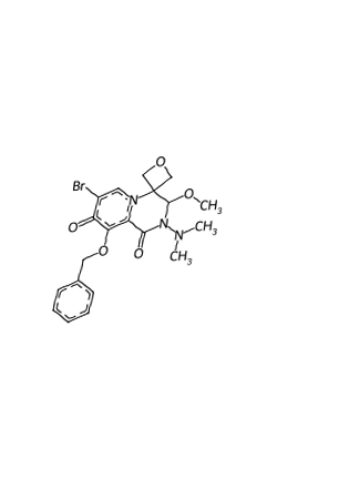 COC1N(N(C)C)C(=O)c2c(OCc3ccccc3)c(=O)c(Br)cn2C12COC2